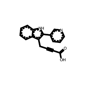 O=C(O)C#CCc1c(-c2cccnc2)[nH]c2ccccc12